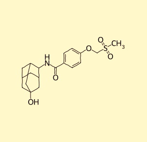 CS(=O)(=O)COc1ccc(C(=O)NC2C3CC4CC2CC(O)(C4)C3)cc1